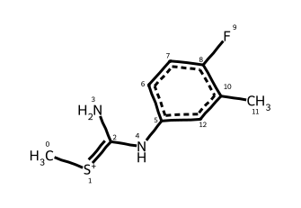 C/[S+]=C(\N)Nc1ccc(F)c(C)c1